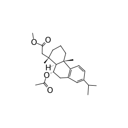 COC(=O)C[C@]1(C)CCC[C@]2(C)c3ccc(C(C)C)cc3C[C@H](OC(C)=O)[C@@H]12